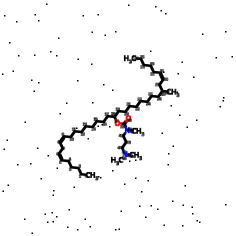 CCCCC/C=C\C/C=C\CCCCCCCCC(CCCCCCCCC(C)C/C=C\CCCCC)OC(=O)N(C)CCCN(C)C